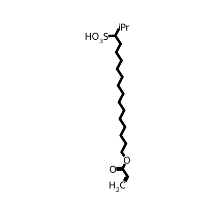 C=CC(=O)OCCCCCCCCCCCCCCC(C(C)C)S(=O)(=O)O